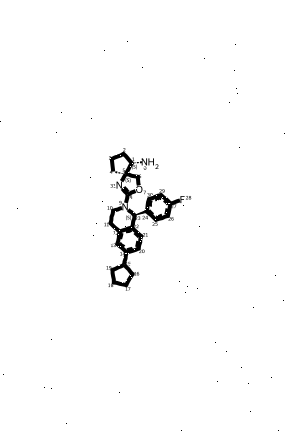 N[C@H]1CCC[C@@]12COC(N1CCc3cc(C4CCCC4)ccc3[C@@H]1c1ccc(F)cc1)=N2